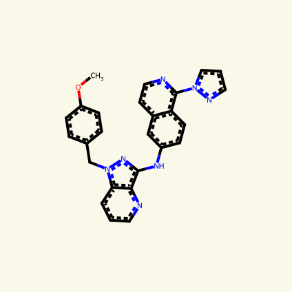 COc1ccc(Cn2nc(Nc3ccc4c(-n5cccn5)nccc4c3)c3ncccc32)cc1